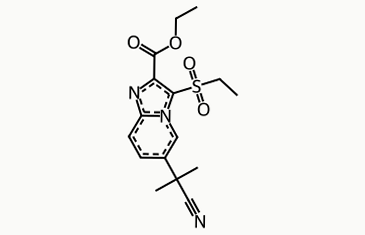 CCOC(=O)c1nc2ccc(C(C)(C)C#N)cn2c1S(=O)(=O)CC